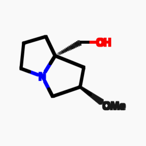 CO[C@H]1CN2CCC[C@@]2(CO)C1